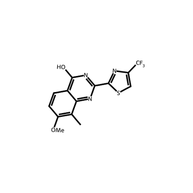 COc1ccc2c(O)nc(-c3nc(C(F)(F)F)cs3)nc2c1C